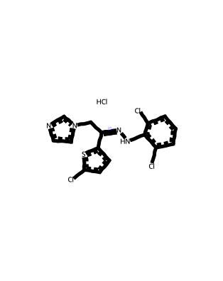 Cl.Clc1ccc(/C(Cn2ccnc2)=N\Nc2c(Cl)cccc2Cl)s1